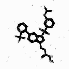 CNC(=O)OCc1cn(S(=O)(=O)c2cccc(OC(F)F)c2)c2cc(-c3cccnc3C(F)(F)F)ccc12